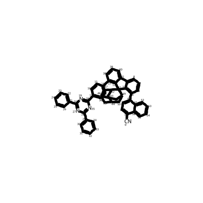 N#Cc1ccc(-c2cccc3c2C2(c4c(-c5ccc(-c6nc(-c7ccccc7)nc(-c7ccccc7)n6)cc5)cccc4-3)C3CC4CC(C3)CC2C4)c2ccccc12